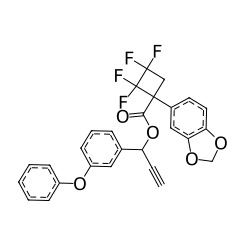 C#CC(OC(=O)C1(c2ccc3c(c2)OCO3)CC(F)(F)C1(F)F)c1cccc(Oc2ccccc2)c1